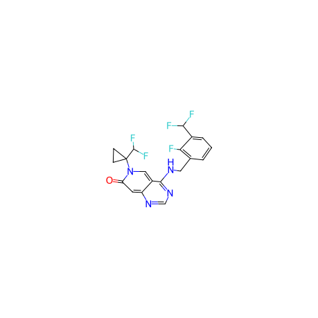 O=c1cc2ncnc(NCc3cccc(C(F)F)c3F)c2cn1C1(C(F)F)CC1